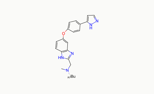 CC[C@@H](C)N(C)Cc1nc2cc(Oc3ccc(-c4ccn[nH]4)cc3)ccc2[nH]1